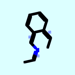 C\C=N/C=c1/cccc/c1=C/C